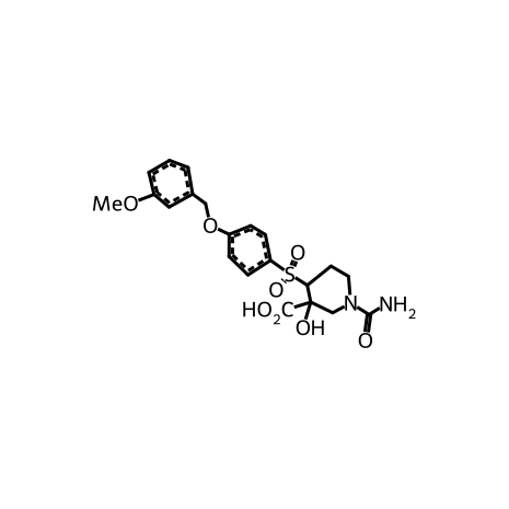 COc1cccc(COc2ccc(S(=O)(=O)C3CCN(C(N)=O)CC3(O)C(=O)O)cc2)c1